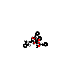 CNC(=O)[C@@](Cc1ccccc1)(C(=O)[C@H](CC(C)C)NC(=O)OCc1ccccc1)N(C(=O)OCc1ccccc1)C(=O)C(CCN1C(=O)c2ccccc2C1=O)SC(C)=O